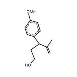 C=C(C)C(CCO)c1ccc(OC)cc1